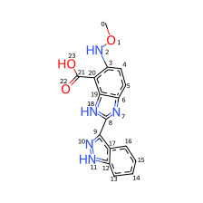 CONc1ccc2nc(-c3n[nH]c4ccccc34)[nH]c2c1C(=O)O